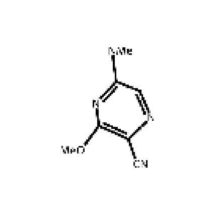 CNc1cnc(C#N)c(OC)n1